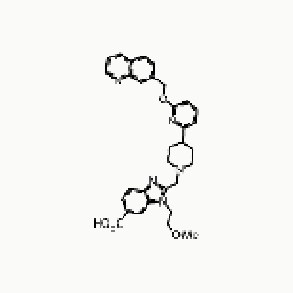 COCCn1c(CN2CCC(c3cccc(OCc4ccc5cccnc5c4)n3)CC2)nc2ccc(C(=O)O)cc21